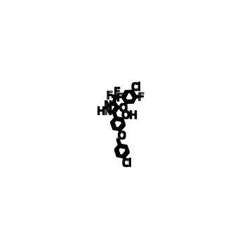 Oc1cc(OCc2ccc(Cl)cc2)ccc1-c1[nH]nc(C(F)(F)F)c1Oc1ccc(Cl)c(F)c1